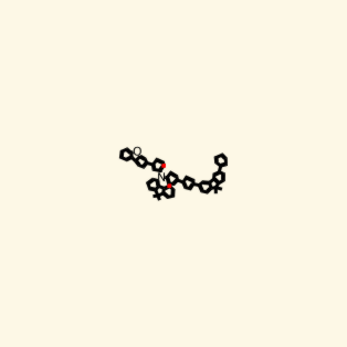 CC1(C)c2ccc(-c3ccccc3)cc2-c2cc(-c3ccc(-c4ccc(N(c5cccc(-c6ccc7c(c6)oc6ccccc67)c5)c5cccc6c5-c5ccccc5C6(C)C)cc4)cc3)ccc21